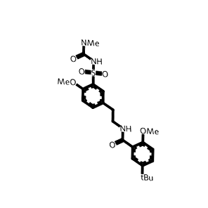 CNC(=O)NS(=O)(=O)c1cc(CCNC(=O)c2cc(C(C)(C)C)ccc2OC)ccc1OC